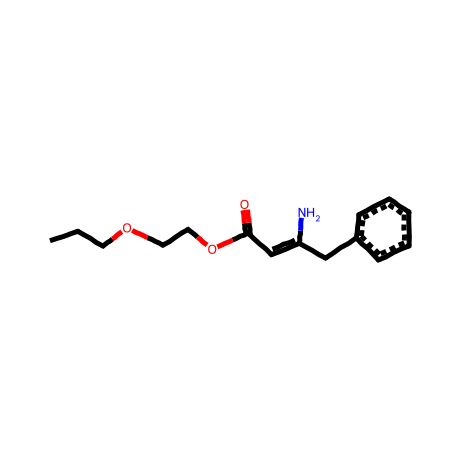 CCCOCCOC(=O)C=C(N)Cc1ccccc1